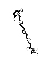 NNC(=O)CCOCCOCCOCCN1C(=O)C=CC1=O